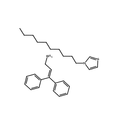 BCC=C(c1ccccc1)c1ccccc1.CCCCCCCCCCn1ccnc1